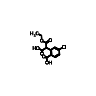 CCOC(=O)C(C(=O)O)c1cc(Cl)ccc1C(=O)O